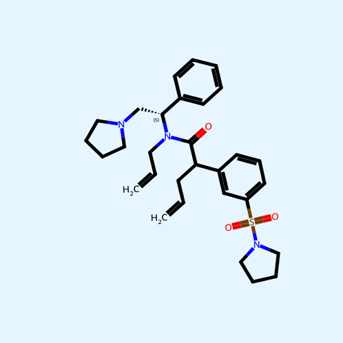 C=CCC(C(=O)N(CC=C)[C@H](CN1CCCC1)c1ccccc1)c1cccc(S(=O)(=O)N2CCCC2)c1